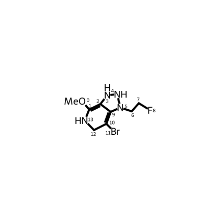 COC1=C2NNN(CCF)C2=C(Br)CN1